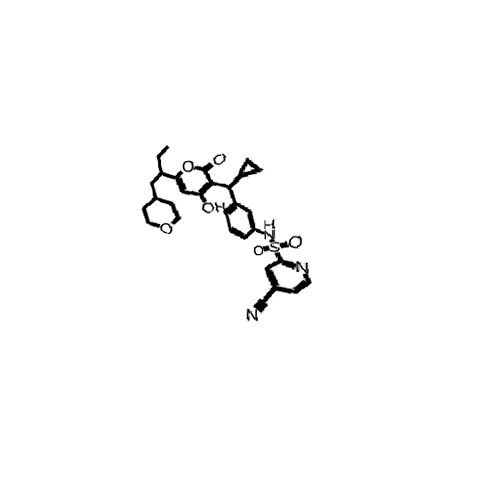 CCC(CC1CCOCC1)c1cc(O)c(C(c2cccc(NS(=O)(=O)c3cc(C#N)ccn3)c2)C2CC2)c(=O)o1